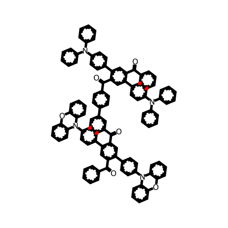 O=C(c1ccccc1)c1cc(-c2ccc(N(c3ccccc3)c3ccccc3)cc2)c(C(=O)c2ccc(-c3cccc(C(=O)c4cc(-c5ccc(N6c7ccccc7Oc7ccccc76)cc5)c(C(=O)c5ccccc5)cc4-c4ccc(N5c6ccccc6Oc6ccccc65)cc4)c3)cc2)cc1-c1ccc(N(c2ccccc2)c2ccccc2)cc1